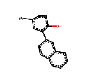 CC(C)c1ccc(O)c(-c2ccc3ccccc3c2)c1